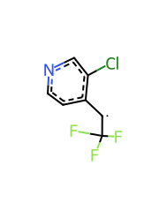 FC(F)(F)[CH]c1ccncc1Cl